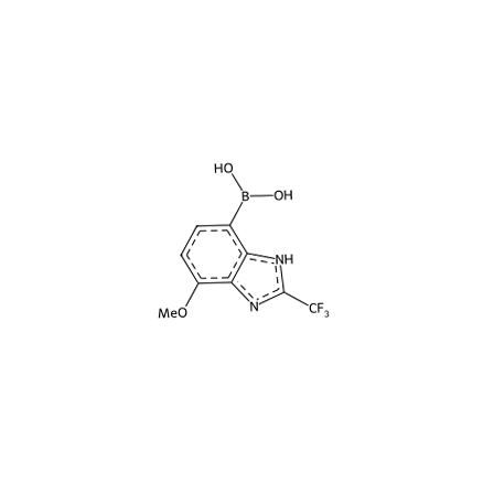 COc1ccc(B(O)O)c2[nH]c(C(F)(F)F)nc12